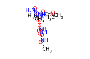 CCCCCC(=O)NCCCOC(=O)N[S+]([O-])NCCOCCOC(=O)N[C@@H](C(=O)N[C@H](CCCNC(N)=O)C(=O)Nc1ccc(COC(=O)C(C)C)cc1)C(C)C